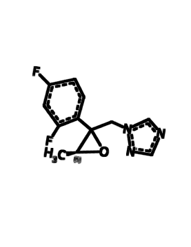 C[C@@H]1OC1(Cn1cncn1)c1ccc(F)cc1F